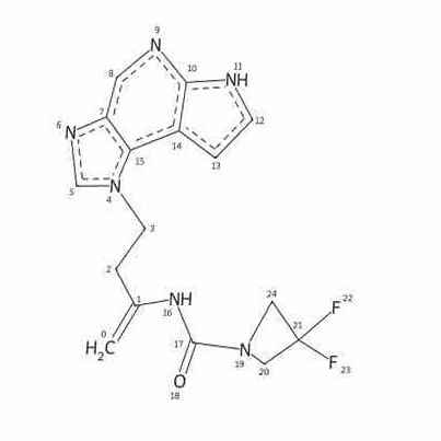 C=C(CCn1cnc2cnc3[nH]ccc3c21)NC(=O)N1CC(F)(F)C1